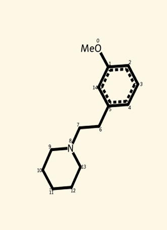 COc1cccc(CCN2CC[CH]CC2)c1